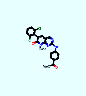 COC(=O)c1ccc(Nc2ncc3cc(-c4c(Cl)cccc4Cl)c(=O)n(OC)c3n2)cc1